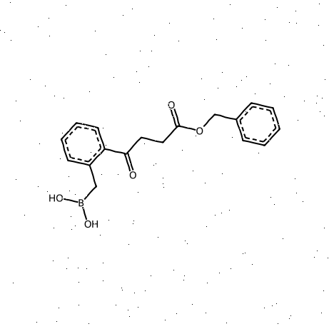 O=C(CCC(=O)c1ccccc1CB(O)O)OCc1ccccc1